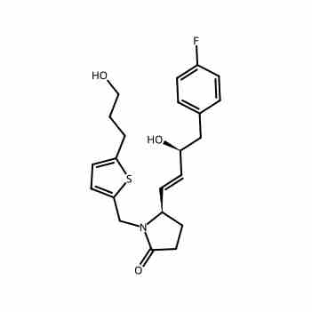 O=C1CC[C@H](/C=C/[C@@H](O)Cc2ccc(F)cc2)N1Cc1ccc(CCCO)s1